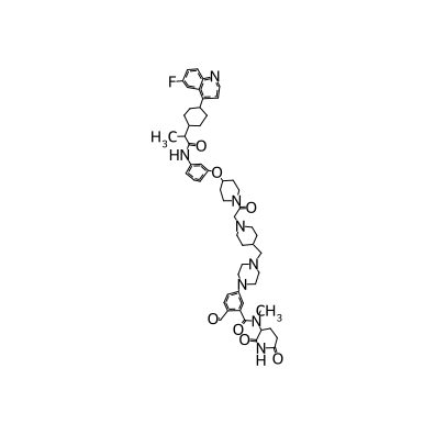 CC(C(=O)Nc1cccc(OC2CCN(C(=O)CN3CCC(CN4CCN(c5ccc(C=O)c(C(=O)N(C)C6CCC(=O)NC6=O)c5)CC4)CC3)CC2)c1)C1CCC(c2ccnc3ccc(F)cc23)CC1